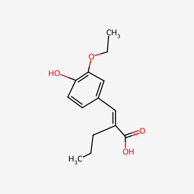 CCC/C(=C\c1ccc(O)c(OCC)c1)C(=O)O